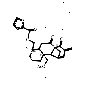 C=C1C=C2C[C@@]3(C(=O)CC4[C@](C)(COC(=O)c5cccs5)CCC[C@@]4(COC(C)=O)C23)C1=O